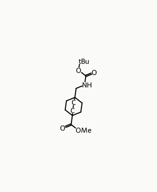 COC(=O)C12CCC(CNC(=O)OC(C)(C)C)(CC1)CC2